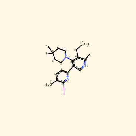 Cc1ncc(-c2ccc(OCC(C)C)c(I)n2)c(N2CCC(C)(C)CC2)c1CC(=O)O